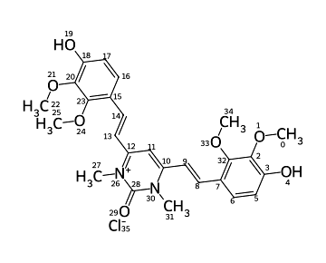 COc1c(O)ccc(C=Cc2cc(C=Cc3ccc(O)c(OC)c3OC)[n+](C)c(=O)n2C)c1OC.[Cl-]